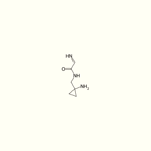 N=CC(=O)NCC1(N)CC1